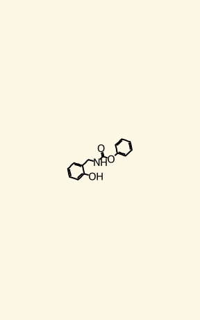 O=C(NCc1ccccc1O)Oc1ccccc1